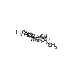 CCCCC1CCC(c2ccc(C(=O)Oc3ccc(OCC)cc3)cc2)C(C)C1